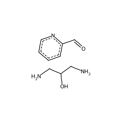 NCC(O)CN.O=Cc1ccccn1